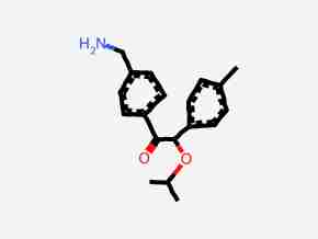 Cc1ccc(C(OC(C)C)C(=O)c2ccc(CN)cc2)cc1